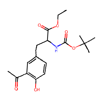 CCOC(=O)C(Cc1ccc(O)c(C(C)=O)c1)NC(=O)OC(C)(C)C